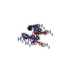 CCOCCCCC(NC(C)=O)(c1cccc(F)c1)C1CCCN(C(=O)NC(CNC)CC2CCCCC2)C1.CNCC(CC12CC3CC(CC1C3)C2)NC(=O)N1CCCC(C(O)(CCCCOC)c2cccc(Cl)c2)C1